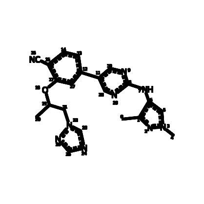 Cc1nn(C)cc1Nc1ncc(-c2ccc(C#N)c(OC(C)Cn3cncn3)c2)cn1